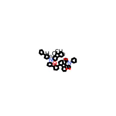 CC1(C)c2ccccc2-c2ccc(N(c3ccc(-c4ccccc4)cc3)c3cccc4c3oc3c(-c5cccc6c5-c5ccccc5C65c6ccccc6N(c6ccccc6)c6ccccc65)cccc34)cc21